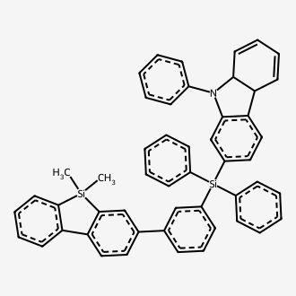 C[Si]1(C)c2ccccc2-c2ccc(-c3cccc([Si](c4ccccc4)(c4ccccc4)c4ccc5c(c4)N(c4ccccc4)C4C=CC=CC54)c3)cc21